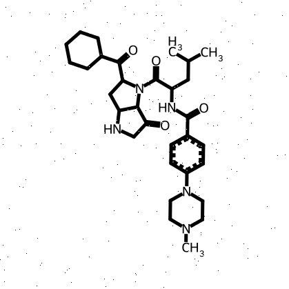 CC(C)CC(NC(=O)c1ccc(N2CCN(C)CC2)cc1)C(=O)N1C(C(=O)C2CCCCC2)CC2NCC(=O)C21